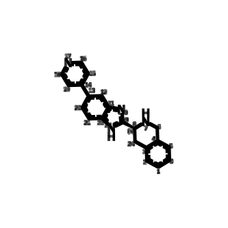 c1ccc2c(c1)CN[C@H](c1nc3cc(-c4ccncc4)ccc3[nH]1)C2